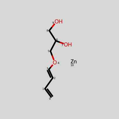 C=CC=COCC(O)CO.[Zn]